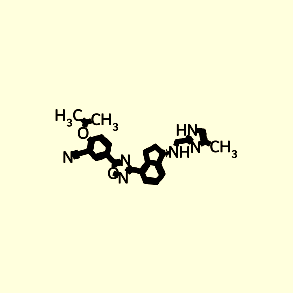 Cc1c[nH]c(CN[C@@H]2CCc3c(-c4noc(-c5ccc(OC(C)C)c(C#N)c5)n4)cccc32)n1